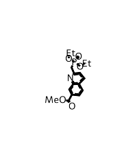 CCOP(=O)(Cc1ccc2ccc(C(=O)OC)cc2n1)OCC